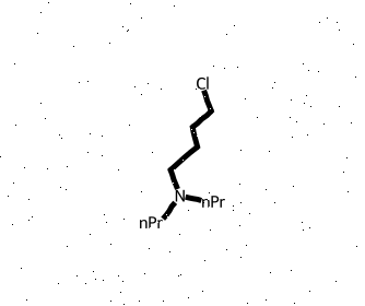 CCCN(CCC)CCCCCl